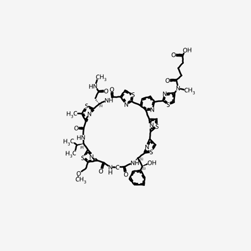 CNC(=O)C[C@@H]1NC(=O)c2csc(n2)-c2ccc(-c3nc(N(C)C(=O)CCCC(=O)O)cs3)nc2-c2csc(n2)-c2csc(n2)[C@H]([C@@H](O)c2ccccc2)NC(=O)CNC(=O)c2nc(sc2COC)[C@@H](C(C)C)NC(=O)c2nc1sc2C